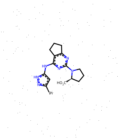 CC(C)c1cc(Nc2nc(N3CCC[C@H]3C(=O)O)nc3c2CCC3)[nH]n1